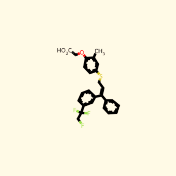 Cc1cc(SC/C=C(/c2ccccc2)c2cccc(C(F)(F)CF)c2)ccc1OCC(=O)O